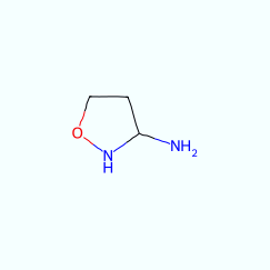 NC1CCON1